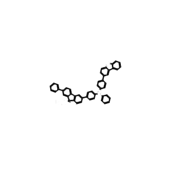 CC1(C)c2ccc(-c3ccc(N(c4ccccc4)c4ccc(-c5ccc6oc7ccccc7c6c5)cc4)cc3)cc2-c2ccc(-c3ccccc3)cc21